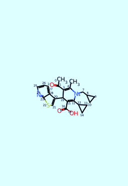 CC(=O)C1=C(C)N(CC2CC2)C(C2CC2)=C(C(=O)O)C1c1csc2ncccc12